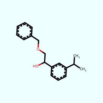 CC(C)c1cccc(C(O)COCc2ccccc2)c1